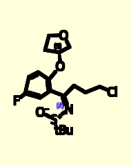 CC(C)(C)[S+]([O-])/N=C(/CCCCl)c1cc(F)ccc1O[C@H]1CCOC1